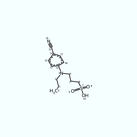 CCCN(CCCS(=O)(=O)O)c1ccc(C#N)cc1